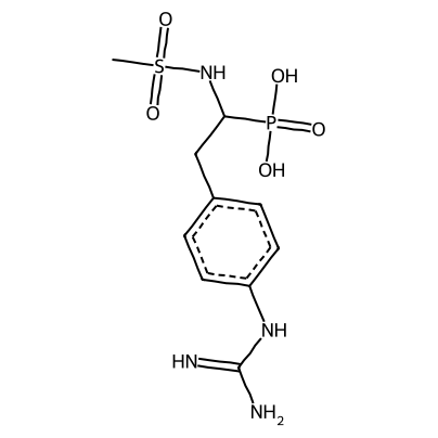 CS(=O)(=O)NC(Cc1ccc(NC(=N)N)cc1)P(=O)(O)O